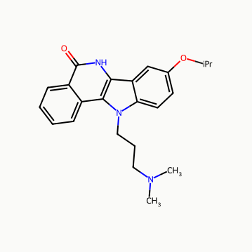 CC(C)Oc1ccc2c(c1)c1[nH]c(=O)c3ccccc3c1n2CCCN(C)C